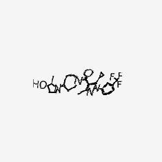 Cc1nn(-c2cccc(C(F)(F)F)c2)c(C2CC2)c1C(=O)N1CCC(N2CC[C@@H](O)[C@H]2C)CC1